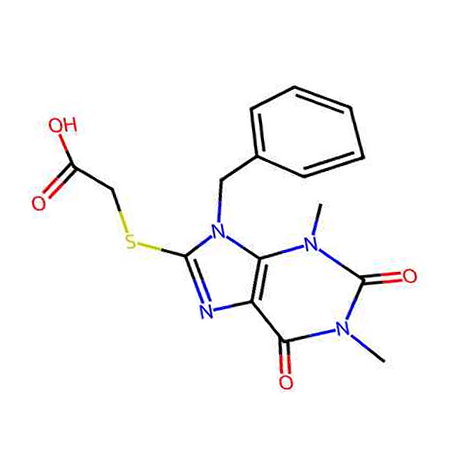 Cn1c(=O)c2nc(SCC(=O)O)n(Cc3ccccc3)c2n(C)c1=O